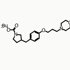 CC(C)(C)OC(=O)N1CCC(Cc2ccc(OCCCN3CCOCC3)cc2)C1